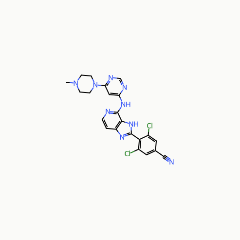 CN1CCN(c2cc(Nc3nccc4nc(-c5c(Cl)cc(C#N)cc5Cl)[nH]c34)ncn2)CC1